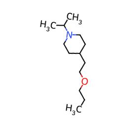 CCCOCCC1CCN(C(C)C)CC1